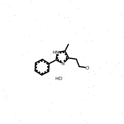 Cc1[nH]c(-c2ccccc2)nc1CCCl.Cl